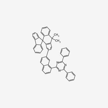 CC1(C)c2ccccc2C2(c3ccccc3-c3ccccc32)c2cc(-c3ccc4cccc(-c5nc(-c6ccccc6)nc(-c6ccccc6)n5)c4c3)ccc21